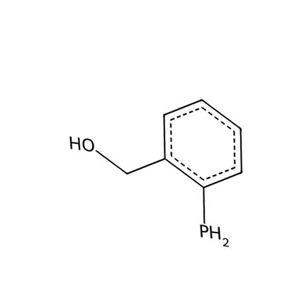 OCc1ccccc1P